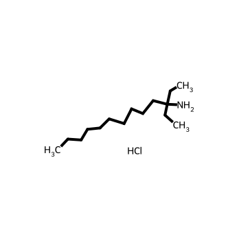 CCCCCCCCCCC(N)(CC)CC.Cl